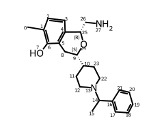 Cc1ccc2c(c1O)C[C@@H](C1CCN(C(C)c3ccccc3)CC1)O[C@H]2CN